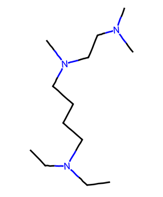 CCN(CC)CCCCN(C)CCN(C)C